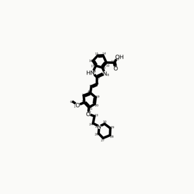 COc1cc(/C=C/c2nc3c(C(=O)O)cccc3[nH]2)ccc1OCCN1CCCCC1